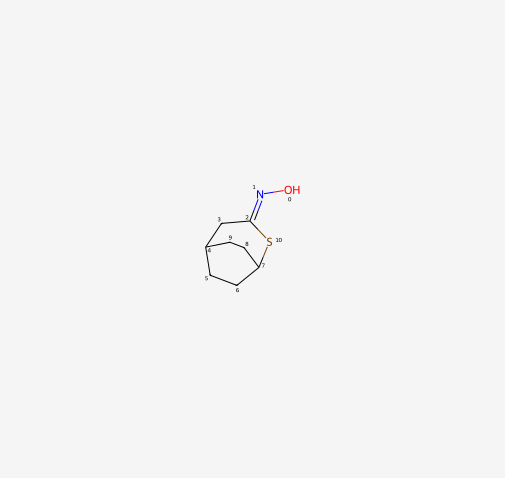 ON=C1CC2CCC(CC2)S1